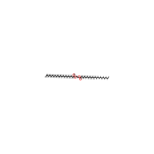 CCCCCCCCCCCCCCCCCCCCCC(=O)OCCOC(=O)CCCCCCCCCCCCCCCCCCCCC